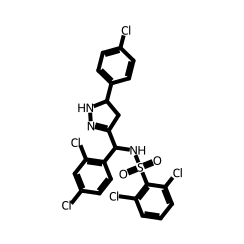 O=S(=O)(NC(C1=NNC(c2ccc(Cl)cc2)C1)c1ccc(Cl)cc1Cl)c1c(Cl)cccc1Cl